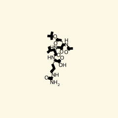 CC(=O)N[C@@H](CC(=O)OC(C)(C)C)C(=O)N[C@H](C(=O)N[C@@H](CCCNC(N)=O)C(=O)O)C(C)C